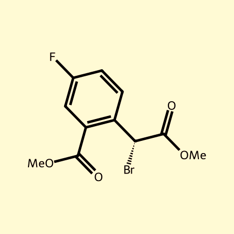 COC(=O)c1cc(F)ccc1[C@@H](Br)C(=O)OC